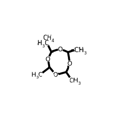 C.CC1OC(C)OC(C)OC(C)O1